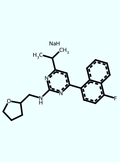 CC(C)c1cc(-c2ccc(F)c3ccccc23)nc(NCC2CCCO2)n1.[NaH]